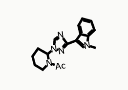 CC(=O)N1CCCCC1n1cnc(-c2cn(C)c3ccccc23)n1